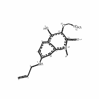 C=CCNc1ccc2c(O)c(OCCCCCCCC)c(=O)n(C)c2c1